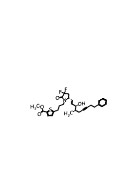 COC(=O)c1ccc(CCCN2C(=O)C(F)(F)C[C@@H]2C=C[C@@H](O)[C@H](C)CC#CCCc2ccccc2)s1